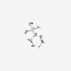 FC(F)(F)C1C=NCCO1